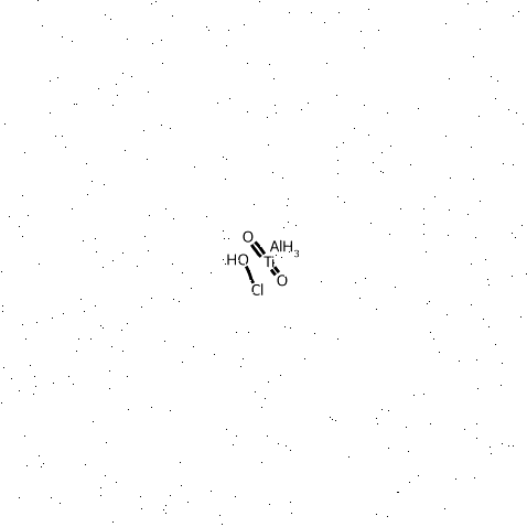 OCl.[AlH3].[O]=[Ti]=[O]